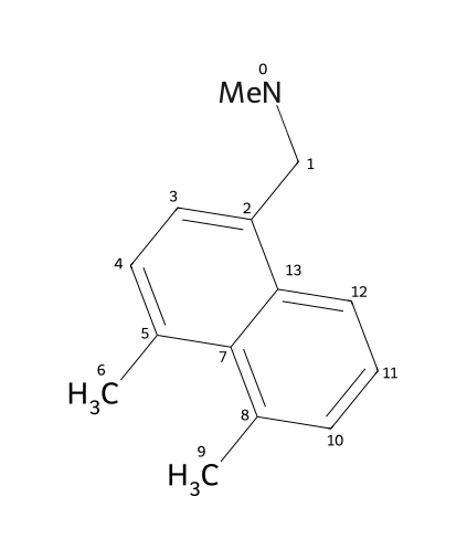 CNCc1ccc(C)c2c(C)cccc12